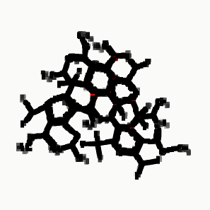 COC(=O)c1c(C(F)F)nc(C(F)(F)F)c(C(SC(c2c(C(F)(F)F)nc(C(F)F)c(C(=O)OC)c2CC(C)C)c2c(C(F)(F)F)nc(C(F)F)c(C(=O)OC)c2CC(C)C)c2c(C(F)(F)F)nc(C(F)F)c(C(=O)OC)c2CC(C)C)c1CC(C)C